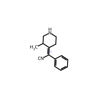 [C-]#[N+]/C(=C1/CCNCC1C)c1ccccc1